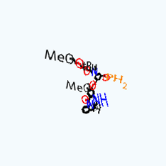 COCCOCCOCCN(CC(C)(C)C)c1cc(COP)cc(COc2cc3c(cc2OC)C(=O)N2c4ccccc4C[C@H]2CN3)c1